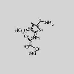 CC(C)(C)OC(=O)C(=O)Nc1sc(CN)cc1C(=O)O